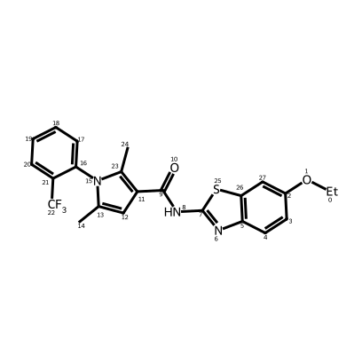 CCOc1ccc2nc(NC(=O)c3cc(C)n(-c4ccccc4C(F)(F)F)c3C)sc2c1